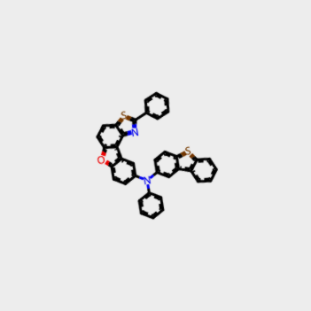 c1ccc(-c2nc3c(ccc4oc5ccc(N(c6ccccc6)c6ccc7sc8ccccc8c7c6)cc5c43)s2)cc1